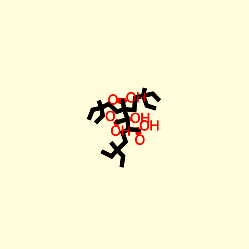 CCC(C)(CC)CCC(C(=O)O)C(O)(C(=O)O)C(CCC(C)(CC)CC)(CCC(C)(CC)CC)C(=O)O